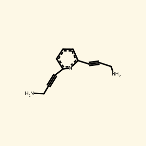 NCC#Cc1cccc(C#CCN)n1